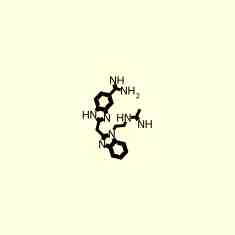 CC(=N)NCCn1c(Cc2nc3cc(C(=N)N)ccc3[nH]2)nc2ccccc21